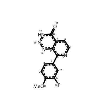 COc1ccc(-c2nccc3c(=O)[nH]nnc23)cc1F